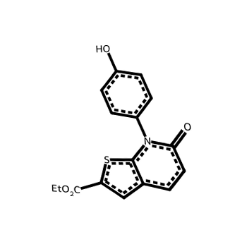 CCOC(=O)c1cc2ccc(=O)n(-c3ccc(O)cc3)c2s1